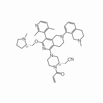 C=CC(=O)N1CCN(c2nc(OC[C@@H]3CCCN3C)c(-c3c(C)ccnc3C)c3c2CCN(c2cccc4c2CN(C)CC4)C3)C[C@@H]1CC#N